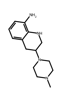 CN1CCN(C2CNc3c(N)cccc3C2)CC1